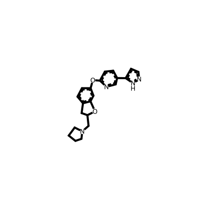 c1cc(-c2ccc(Oc3ccc4c(c3)OC(CN3CCCC3)C4)nc2)[nH]n1